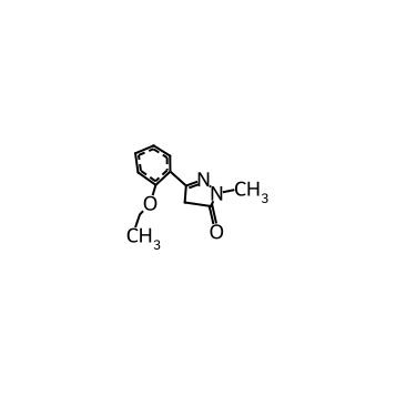 CCOc1ccccc1C1=NN(C)C(=O)C1